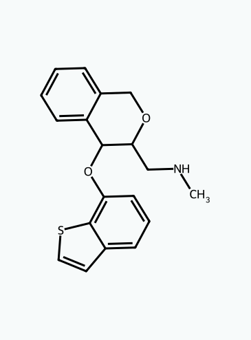 CNCC1OCc2ccccc2C1Oc1cccc2ccsc12